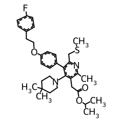 CSCc1nc(C)c(CC(=O)OC(C)C)c(N2CCC(C)(C)CC2)c1-c1ccc(OCCc2ccc(F)cc2)cc1